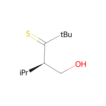 CC(C)[C@H](CO)C(=S)C(C)(C)C